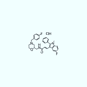 Cl.Cn1c(-c2ccccc2)c(C=CC(=O)NCC2CN(Cc3ccc(F)cc3)CCO2)c2cc(F)ccc21